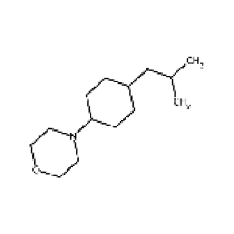 CC(C)CC1CCC(N2CCOCC2)CC1